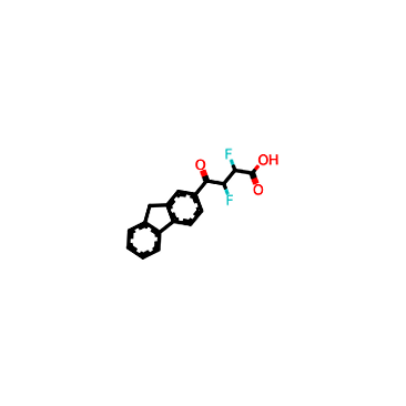 O=C(O)C(F)C(F)C(=O)c1ccc2c(c1)Cc1ccccc1-2